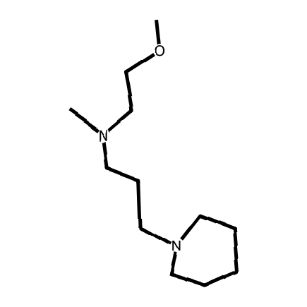 COCCN(C)CCCN1CCCCC1